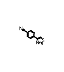 N#Cc1ccc(-c2csnn2)cc1